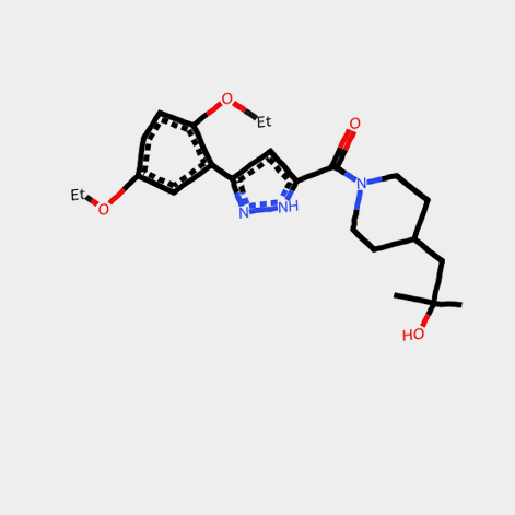 CCOc1ccc(OCC)c(-c2cc(C(=O)N3CCC(CC(C)(C)O)CC3)[nH]n2)c1